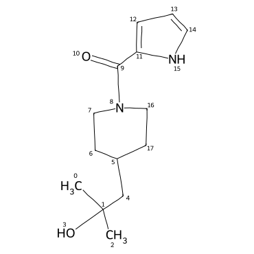 CC(C)(O)CC1CCN(C(=O)c2ccc[nH]2)CC1